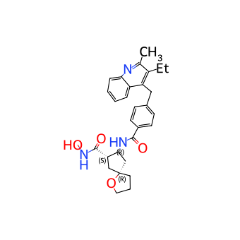 CCc1c(C)nc2ccccc2c1Cc1ccc(C(=O)N[C@@H]2C[C@@]3(CCCO3)C[C@@H]2C(=O)NO)cc1